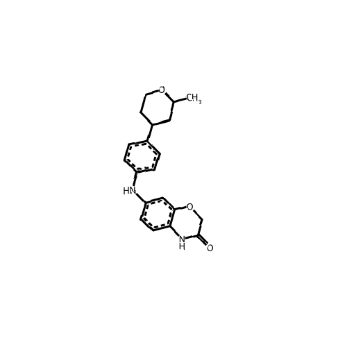 CC1CC(c2ccc(Nc3ccc4c(c3)OCC(=O)N4)cc2)CCO1